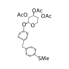 CSc1ccc(Cc2ccc(O[C@@H]3OC[C@@H](OC(C)=O)[C@H](OC(C)=O)[C@H]3OC(C)=O)cc2)cc1